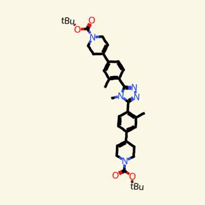 Cc1cc(C2=CCN(C(=O)OC(C)(C)C)CC2)ccc1-c1nnc(-c2ccc(C3=CCN(C(=O)OC(C)(C)C)CC3)cc2C)n1C